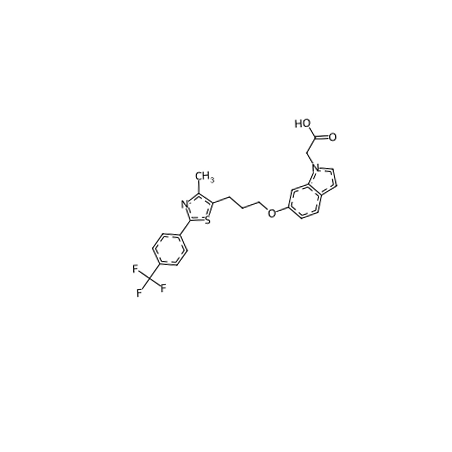 Cc1nc(-c2ccc(C(F)(F)F)cc2)sc1CCCOc1ccc2ccn(CC(=O)O)c2c1